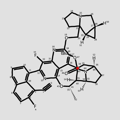 C#Cc1c(F)ccc2cccc(-c3nc4c5c(nc(OCC67CCCN6C[C@@H]6C[C@@H]67)nc5c3F)N3C[C@H]5CC[C@@H]([C@H]3[C@H](C)O4)N5C(=O)OC(C)(C)C)c12